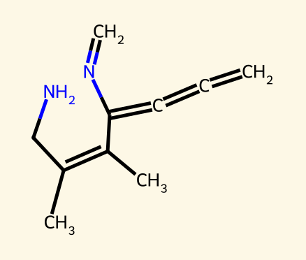 C=C=C=C(N=C)/C(C)=C(/C)CN